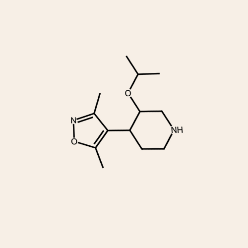 Cc1noc(C)c1C1CCNCC1OC(C)C